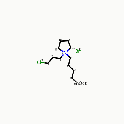 CCCCCCCCCCCC[N+]1(CCCCl)CCCC1.[Br-]